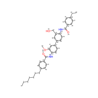 CCCCCCCc1ccc(C(=O)Nc2ccc(-c3ccc(NC(=O)c4ccc(CC)cc4)c(CO)c3)cc2OC)cc1